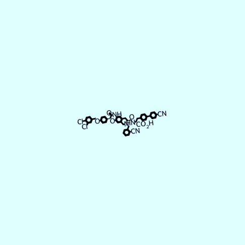 N#Cc1ccc(-c2ccc(CC(NC(=O)[C@@H]3Cc4cc5c(cc4CN3Cc3ccccc3C#N)O[C@@H](c3ccc(OCc4ccc(Cl)c(Cl)c4)cc3)C(=O)N5)C(=O)O)cc2)cc1